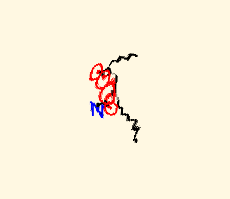 CCCCCCCCCCC[C@@H](C[C@@H]1OC(=O)[C@H]1CCCCCC)OC(=O)CN(C)C